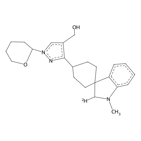 [2H]C1N(C)c2ccccc2C12CCC(c1nn(C3CCCCO3)cc1CO)CC2